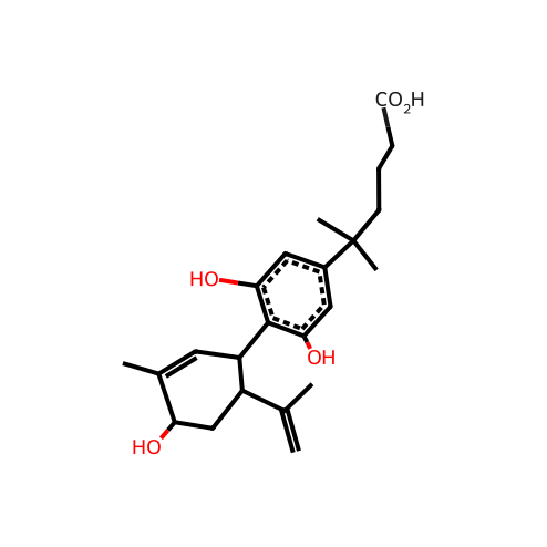 C=C(C)C1CC(O)C(C)=CC1c1c(O)cc(C(C)(C)CCCC(=O)O)cc1O